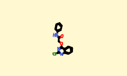 O=C(COc1nc(Cl)nc2ccccc12)Nc1ccccc1